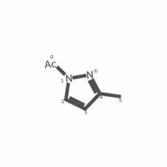 CC(=O)n1ccc(C)n1